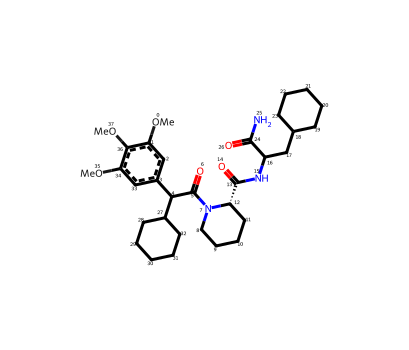 COc1cc(C(C(=O)N2CCCC[C@H]2C(=O)NC(CC2CCCCC2)C(N)=O)C2CCCCC2)cc(OC)c1OC